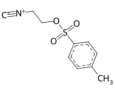 [C-]#[N+]CCOS(=O)(=O)c1ccc(C)cc1